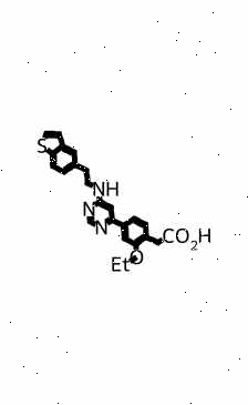 CCOc1cc(-c2cc(NCCc3ccc4sccc4c3)ncn2)ccc1CC(=O)O